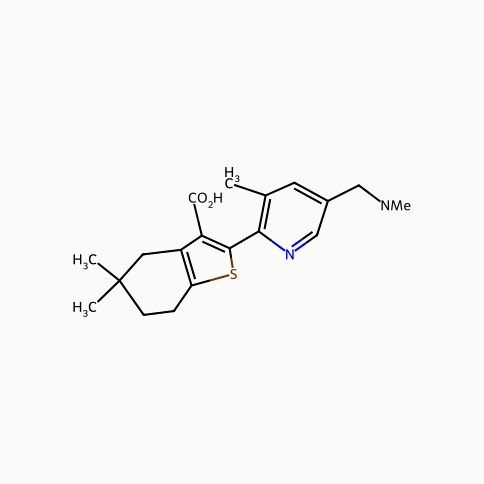 CNCc1cnc(-c2sc3c(c2C(=O)O)CC(C)(C)CC3)c(C)c1